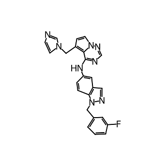 Fc1cccc(Cn2ncc3cc(Nc4ncnn5ccc(Cn6ccnc6)c45)ccc32)c1